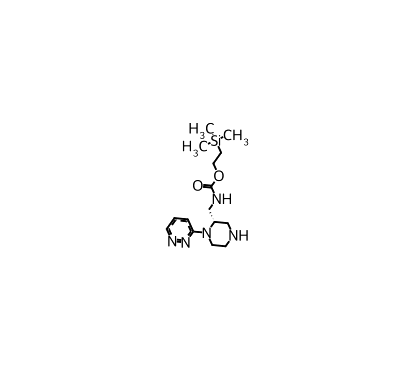 C[Si](C)(C)CCOC(=O)NC[C@@H]1CNCCN1c1cccnn1